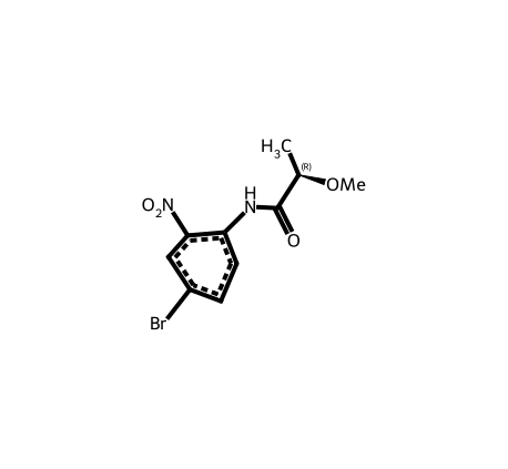 CO[C@H](C)C(=O)Nc1ccc(Br)cc1[N+](=O)[O-]